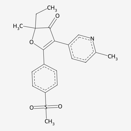 CCC1(C)OC(c2ccc(S(C)(=O)=O)cc2)=C(c2ccc(C)nc2)C1=O